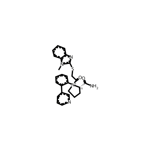 Cn1c(SCC(=O)[N+]2(c3ccccc3-c3cccnc3)CCC[C@H]2C(N)=O)nc2ccccc21